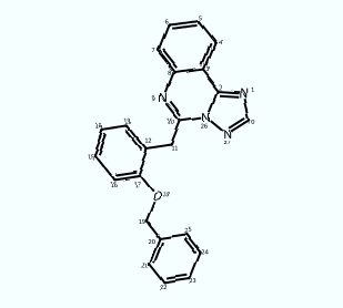 [c]1nc2c3ccccc3nc(Cc3ccccc3OCc3ccccc3)n2n1